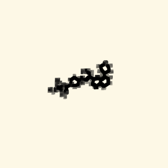 CC(C)(C)OC(=O)N1CCC(N/C=C(\C=N)c2cnc3cccc(C4CCOCC4)c3n2)CC1